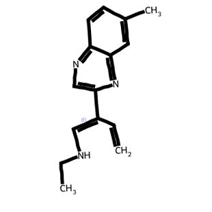 C=C/C(=C\NCC)c1cnc2ccc(C)cc2n1